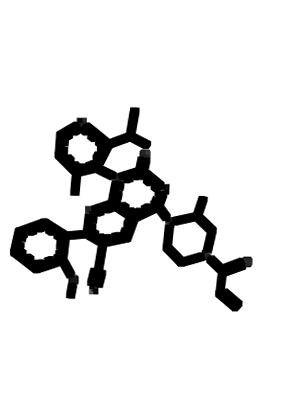 C=CC(=O)N1CCN(c2nc(=O)n(-c3c(C)ccnc3C(C)C)c3nc(-c4ccccc4OC)c(C#N)cc23)C(C)C1